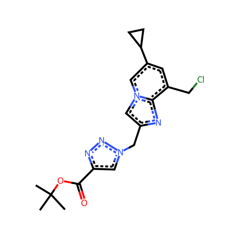 CC(C)(C)OC(=O)c1cn(Cc2cn3cc(C4CC4)cc(CCl)c3n2)nn1